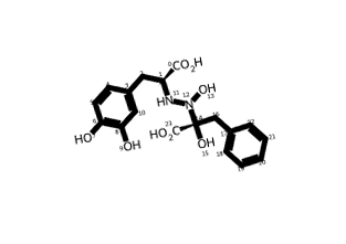 O=C(O)[C@H](Cc1ccc(O)c(O)c1)NN(O)[C@@](O)(Cc1ccccc1)C(=O)O